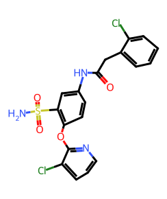 NS(=O)(=O)c1cc(NC(=O)Cc2ccccc2Cl)ccc1Oc1ncccc1Cl